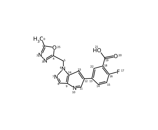 Cc1nnc(Cn2ncc3ncc(-c4ccc(F)c(C(=O)O)c4)cc32)o1